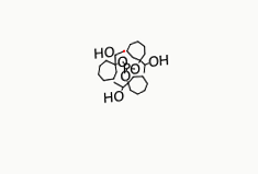 CC(O)C1(OP(OC2(C(C)O)CCCCCC2)OC2(C(C)O)CCCCCC2)CCCCCC1